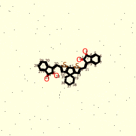 O=C1C(=O)c2ccccc2/C1=C/c1cc2c(s1)-c1sc(/C=C3\C(=O)C(=O)c4ccccc43)cc1C21CCCCC1